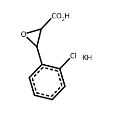 O=C(O)C1OC1c1ccccc1Cl.[KH]